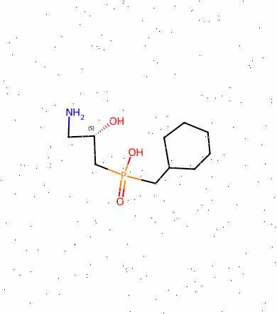 NC[C@H](O)CP(=O)(O)CC1CCCCC1